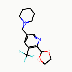 FC(F)(F)c1cc(CN2CCCCC2)cnc1C1OCCO1